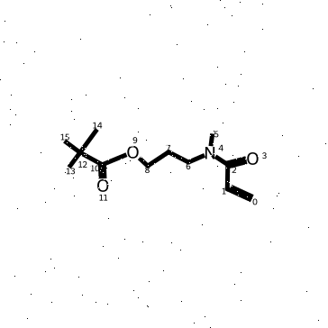 C=CC(=O)N(C)CCCOC(=O)C(C)(C)C